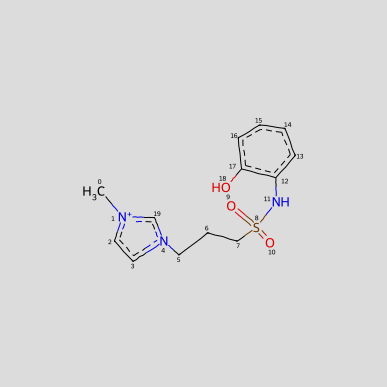 C[n+]1ccn(CCCS(=O)(=O)Nc2ccccc2O)c1